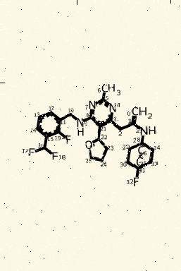 C=C(Cc1nc(C)nc(NCc2cccc(C(F)F)c2F)c1C1CCCO1)NC12CCC(F)(CC1)CC2